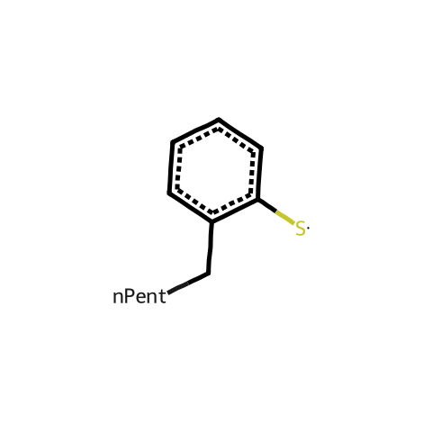 CCCCCCc1ccccc1[S]